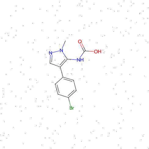 Cn1ncc(-c2ccc(Br)cc2)c1NC(=O)O